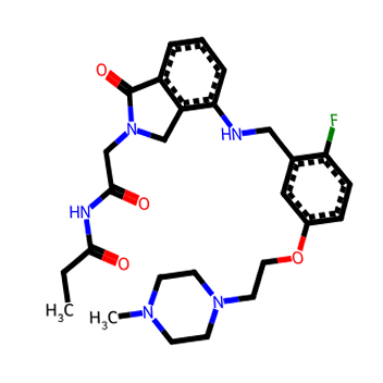 CCC(=O)NC(=O)CN1Cc2c(NCc3cc(OCCN4CCN(C)CC4)ccc3F)cccc2C1=O